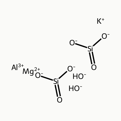 O=[Si]([O-])[O-].O=[Si]([O-])[O-].[Al+3].[K+].[Mg+2].[OH-].[OH-]